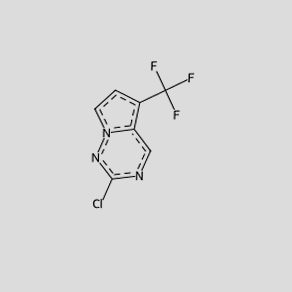 FC(F)(F)c1ccn2nc(Cl)ncc12